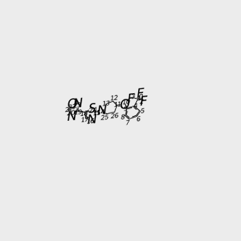 FC(F)(F)c1ccccc1OC1CCN(c2ncc(-c3ncon3)s2)CC1